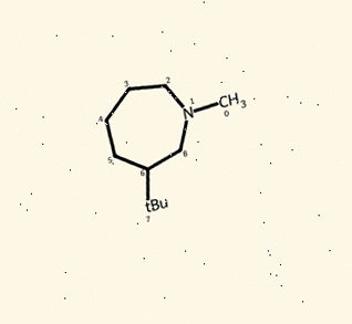 CN1CCCCC(C(C)(C)C)C1